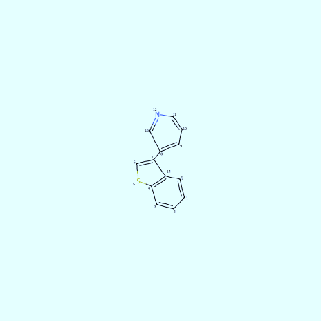 [c]1cccc2scc(-c3cccnc3)c12